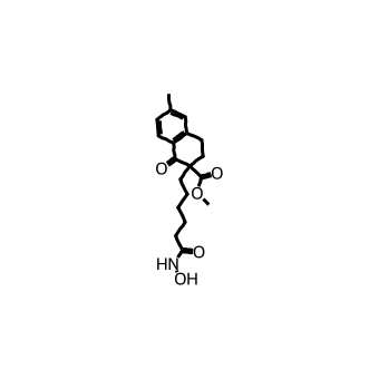 COC(=O)C1(CCCCCC(=O)NO)CCc2cc(C)ccc2C1=O